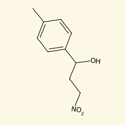 Cc1ccc(C(O)CC[N+](=O)[O-])cc1